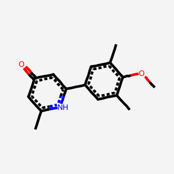 COc1c(C)cc(-c2cc(=O)cc(C)[nH]2)cc1C